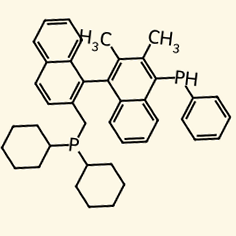 Cc1c(C)c(-c2c(CP(C3CCCCC3)C3CCCCC3)ccc3ccccc23)c2ccccc2c1Pc1ccccc1